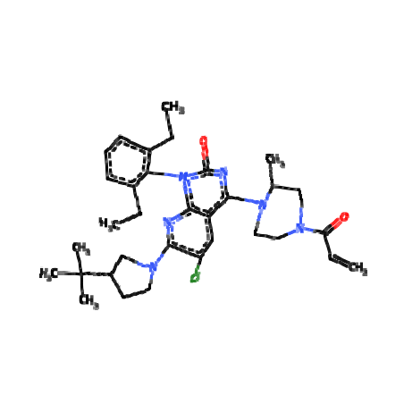 C=CC(=O)N1CCN(c2nc(=O)n(-c3c(CC)cccc3CC)c3nc(N4CCC(C(C)(C)C)C4)c(Cl)cc23)C(C)C1